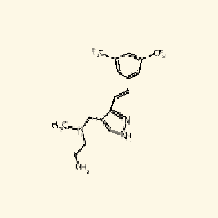 CN(CCN)Cc1c[nH]nc1/C=C/c1cc(C(F)(F)F)cc(C(F)(F)F)c1